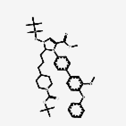 COC(=O)C1=CN(O[Si](C)(C)C(C)(C)C)C(CCCC2CCN(C(=O)OC(C)(C)C)CC2)N1c1ccc(-c2ccc(Oc3ccccc3)c(OC)c2)cc1